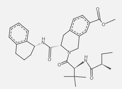 CC[C@@H](C)C(=O)N[C@H](C(=O)N1Cc2cc(C(=O)OC)ccc2C[C@H]1C(=O)N[C@@H]1CCCc2ccccc21)C(C)(C)C